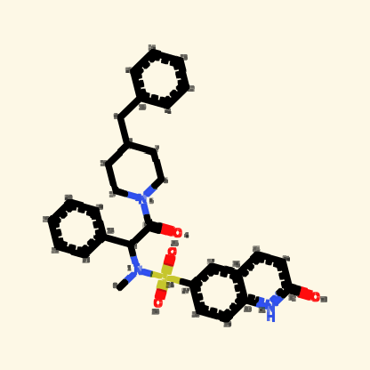 CN(C(C(=O)N1CCC(Cc2ccccc2)CC1)c1ccccc1)S(=O)(=O)c1ccc2[nH]c(=O)ccc2c1